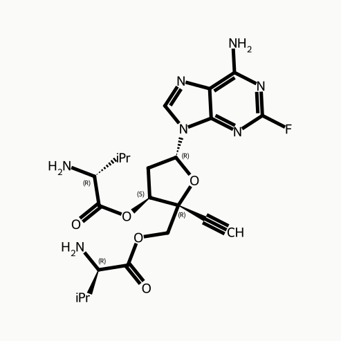 C#C[C@]1(COC(=O)[C@H](N)C(C)C)O[C@@H](n2cnc3c(N)nc(F)nc32)C[C@@H]1OC(=O)[C@H](N)C(C)C